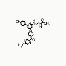 CC(=O)NCCNc1cc(N2CCN(C(=O)c3cnc(C)cn3)CC2)nc(-c2ccc(Cl)cc2)n1